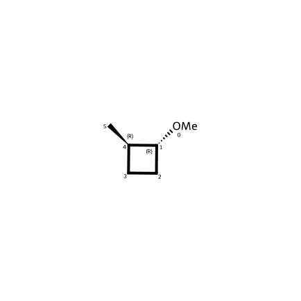 CO[C@@H]1CC[C@H]1C